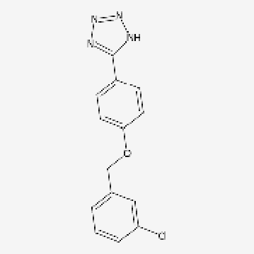 Clc1cccc(COc2ccc(-c3nnn[nH]3)cc2)c1